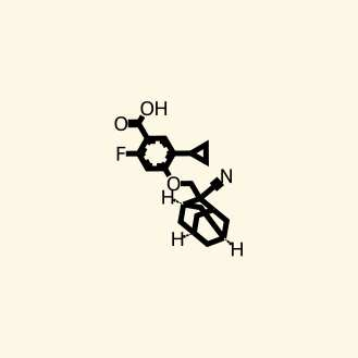 N#CC1(COc2cc(F)c(C(=O)O)cc2C2CC2)C2C[C@H]3C[C@H](C2)C[C@H]1C3